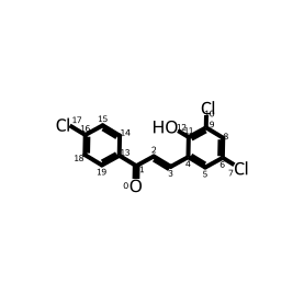 O=C(C=Cc1cc(Cl)cc(Cl)c1O)c1ccc(Cl)cc1